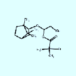 CCC(C)(C)C(=O)OC(CC(C)(C)C)OC1CC2CCC1(C)C2(C)C